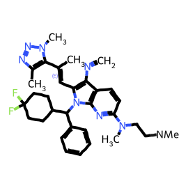 C=Nc1c(/C=C(\C)c2c(C)nnn2C)n(C(c2ccccc2)C2CCC(F)(F)CC2)c2nc(N(C)CCNC)ccc12